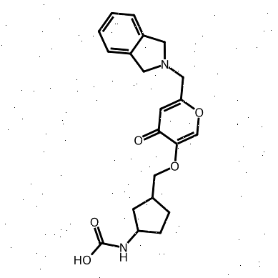 O=C(O)NC1CCC(COc2coc(CN3Cc4ccccc4C3)cc2=O)C1